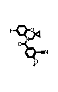 COc1ccc(C(=O)N2CC3(CC3)Oc3ccc(F)cc32)cc1C#N